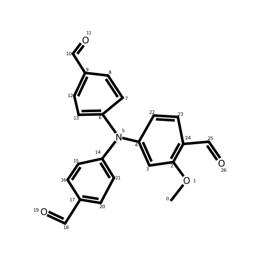 COc1cc(N(c2ccc(C=O)cc2)c2ccc(C=O)cc2)ccc1C=O